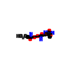 O=C(CCCCCC1(c2ccccc2)C(=O)NC(=O)NC1=O)NCCOCCOCCNC(=O)c1ccc(C(=O)O)cc1